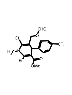 CCC1=C(COC=O)C(c2ccc(C(F)(F)F)cc2)C(C(=O)OC)=C(CC)N1C